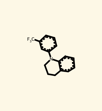 FC(F)(F)c1cccc(N2CCCc3ccc[c]c32)c1